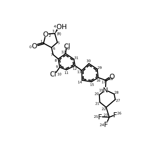 O=C1O[C@@H](O)CC1Cc1c(Cl)cc(-c2ccc(C(=O)N3CCC(C(F)(F)F)CC3)cc2)cc1Cl